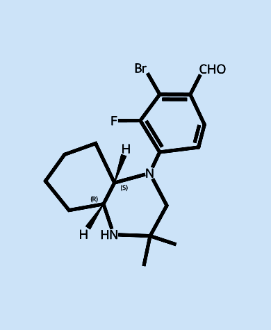 CC1(C)CN(c2ccc(C=O)c(Br)c2F)[C@H]2CCCC[C@H]2N1